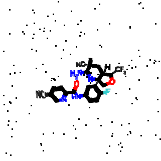 C[C@@]1(C#N)C[C@H]2[C@H](C(F)(F)F)OC[C@@]2(c2cc(NC(=O)c3ccc(C#N)cn3)ccc2F)N=C1N